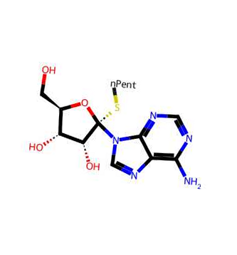 CCCCCS[C@@]1(n2cnc3c(N)ncnc32)O[C@H](CO)[C@@H](O)[C@H]1O